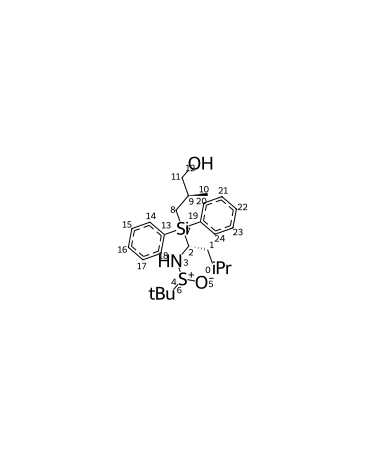 CC(C)C[C@H](N[S+]([O-])C(C)(C)C)[Si](C[C@H](C)CO)(c1ccccc1)c1ccccc1